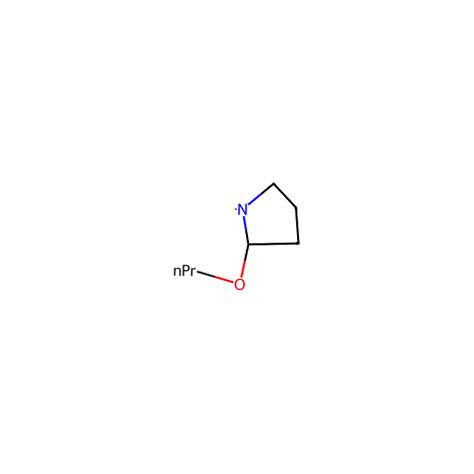 CCCOC1CCC[N]1